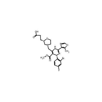 COC(=O)C1=C(CN2CCO[C@H](CCC(=O)O)C2)NC(c2ncoc2C)=N[C@H]1c1ccc(F)cc1Br